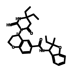 CCC1(CC)CC(=O)N([C@@H]2CCOc3ccc(C(=O)NC4c5ccccc5OC4(C)CC)cc32)C(=N)N1